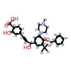 CN1CCN(c2cc(C(O)C#Cc3ccc(C(=O)O)c(O)c3)cc(C(C)(C)C)c2OCc2ccccc2)CC1